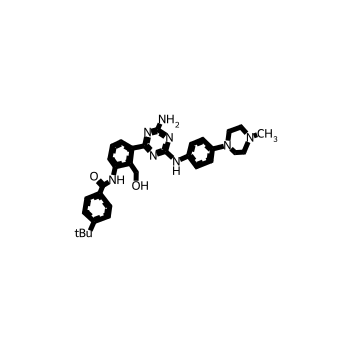 CN1CCN(c2ccc(Nc3nc(N)nc(-c4cccc(NC(=O)c5ccc(C(C)(C)C)cc5)c4CO)n3)cc2)CC1